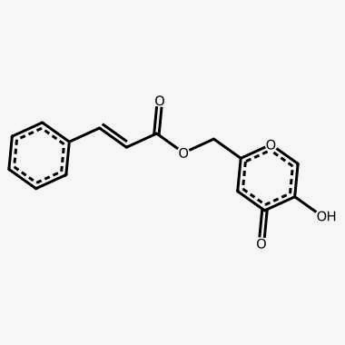 O=C(C=Cc1ccccc1)OCc1cc(=O)c(O)co1